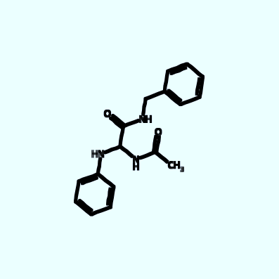 CC(=O)NC(Nc1ccccc1)C(=O)NCc1ccccc1